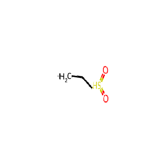 [CH2]CC[SH](=O)=O